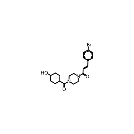 O=C(/C=C/c1ccc(Br)cc1)N1CCN(C(=O)C2CCC(O)CC2)CC1